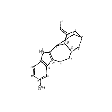 C/C=C1\CC2CC3c4[nH]c5ccc(O)cc5c4CCN(C2)C13